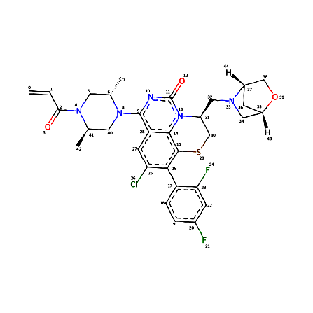 C=CC(=O)N1C[C@H](C)N(c2nc(=O)n3c4c(c(-c5ccc(F)cc5F)c(Cl)cc24)SC[C@@H]3CN2C[C@@H]3C[C@H]2CO3)C[C@H]1C